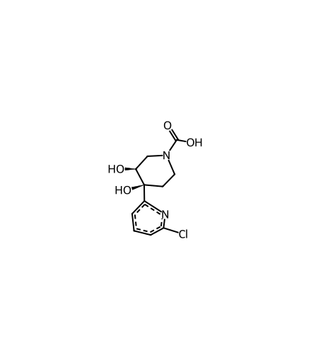 O=C(O)N1CC[C@](O)(c2cccc(Cl)n2)[C@@H](O)C1